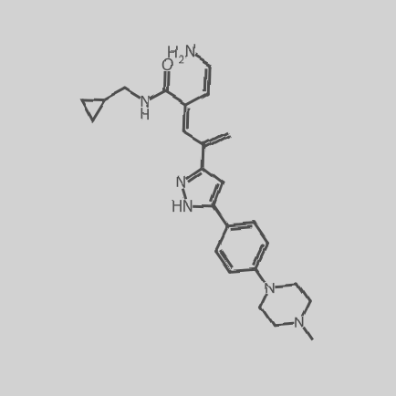 C=C(/C=C(\C=C/N)C(=O)NCC1CC1)c1cc(-c2ccc(N3CCN(C)CC3)cc2)[nH]n1